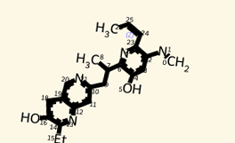 C=Nc1cc(O)c(C(C)Cc2cc3nc(CC)c(O)cc3cn2)nc1/C=C\C